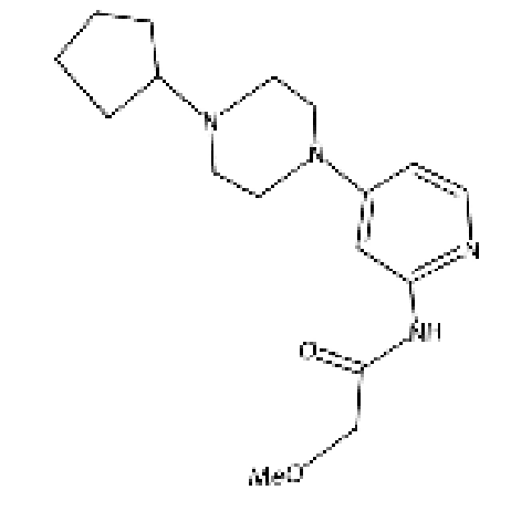 COCC(=O)Nc1cc(N2CCN(C3CCCC3)CC2)ccn1